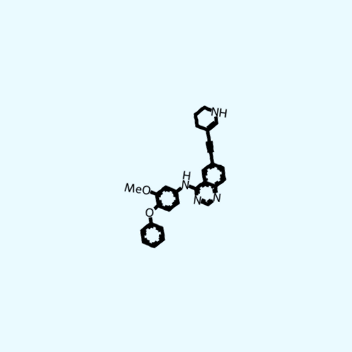 COc1cc(Nc2ncnc3ccc(C#CC4=CNCCC4)cc23)ccc1Oc1ccccc1